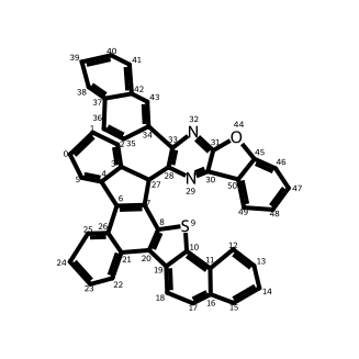 c1ccc2c(c1)-c1c(c3sc4c5ccccc5ccc4c3c3ccccc13)C2c1nc2c(nc1-c1ccc3ccccc3c1)oc1ccccc12